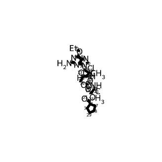 CCOc1nc(N)nc2c1ncn2[C@@H]1O[C@@H]2CO[P@@](=O)(N[C@H](C)COC(=O)C3CCCC3)O[C@H]2[C@@]1(C)Cl